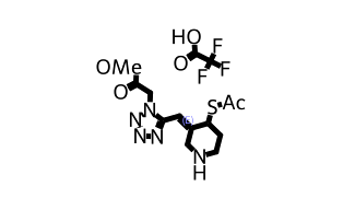 COC(=O)Cn1nnnc1/C=C1\CNCCC1SC(C)=O.O=C(O)C(F)(F)F